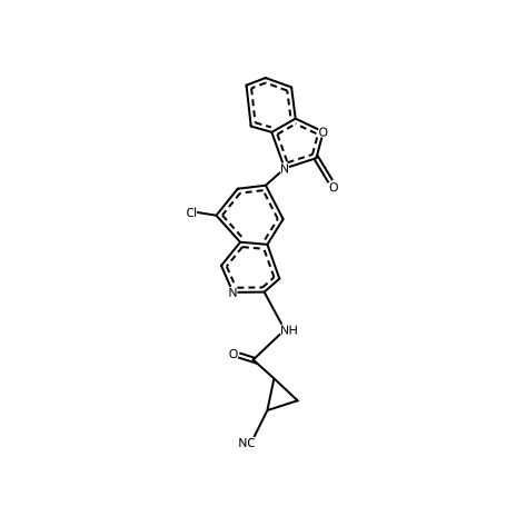 N#CC1CC1C(=O)Nc1cc2cc(-n3c(=O)oc4ccccc43)cc(Cl)c2cn1